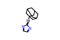 C1=N[C](=[Ni][C]23CC4CC(CC(C4)C2)C3)N=C1